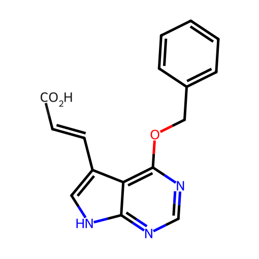 O=C(O)/C=C/c1c[nH]c2ncnc(OCc3ccccc3)c12